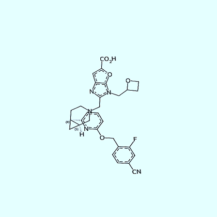 N#Cc1ccc(COc2cccc([C@]34CCN(Cc5nc6cc(C(=O)O)oc6n5CC5CCO5)C[C@H]3C4)n2)c(F)c1